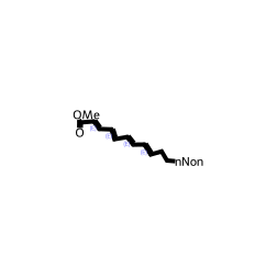 CCCCCCCCCCC/C=C/C=C/C=C/C=C/C(=O)OC